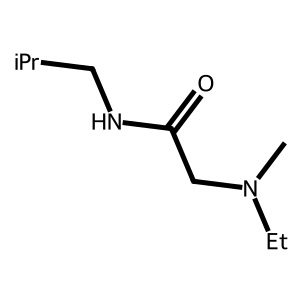 CCN(C)CC(=O)NCC(C)C